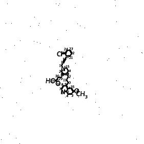 COc1ccc2nccc(CCC[C@@H]3CCN(CC#Cc4ccccc4Cl)C[C@@H]3CCC(=O)O)c2c1